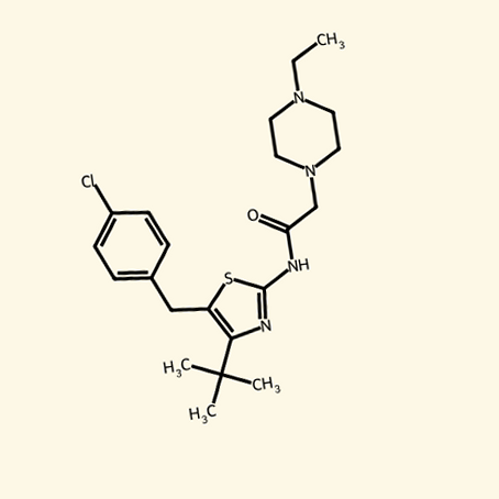 CCN1CCN(CC(=O)Nc2nc(C(C)(C)C)c(Cc3ccc(Cl)cc3)s2)CC1